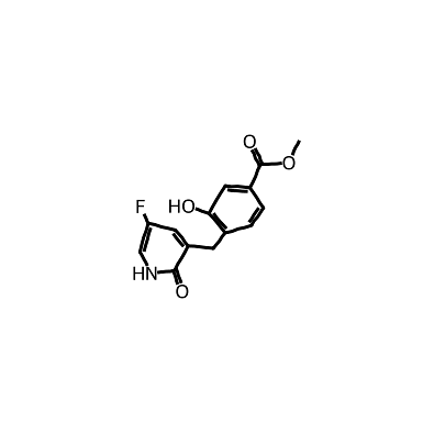 COC(=O)c1ccc(Cc2cc(F)c[nH]c2=O)c(O)c1